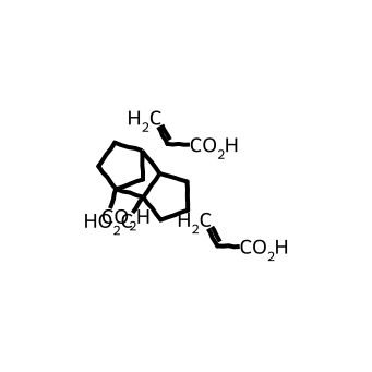 C=CC(=O)O.C=CC(=O)O.O=C(O)C12CCC(C1)C1CCCC12C(=O)O